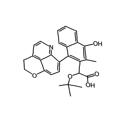 Cc1c(C(OC(C)(C)C)C(=O)O)c(-c2ccc3c4c(ccnc24)CCO3)c2ccccc2c1O